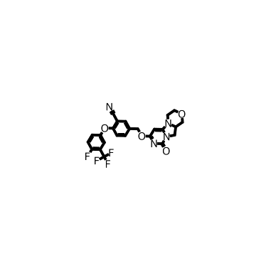 N#Cc1cc(COc2cc3n(c(=O)n2)CC2COCCN32)ccc1Oc1ccc(F)c(C(F)(F)F)c1